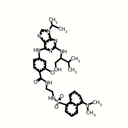 CC(C)C(CO)Nc1nc(Nc2ccc(C(=O)NCCNS(=O)(=O)c3cccc4c(N(C)C)cccc34)c(Cl)c2)c2ncn(C(C)C)c2n1